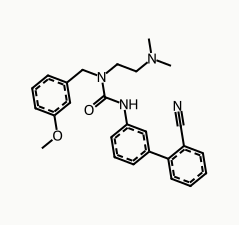 COc1cccc(CN(CCN(C)C)C(=O)Nc2cccc(-c3ccccc3C#N)c2)c1